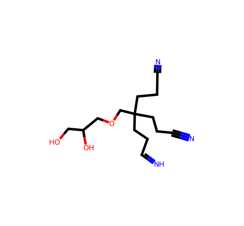 N#CCCC(CCC#N)(CCC=N)COCC(O)CO